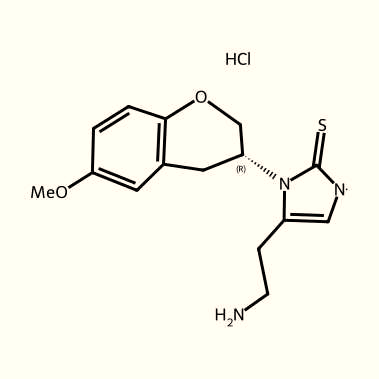 COc1ccc2c(c1)C[C@@H](N1C(=S)[N]C=C1CCN)CO2.Cl